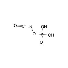 O=C=NOP(=O)(O)O